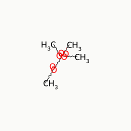 CCCCCCCCCCOC(=O)CCCCCCCC(OC(=O)CCCCCCC)C(CCCCCCCC)OC(=O)CCCCCCC